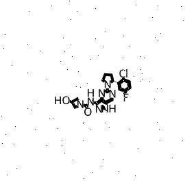 O=C(Nc1n[nH]c2cnc(N3CCC[C@@H]3c3cc(F)ccc3Cl)nc12)N1CC(O)C1